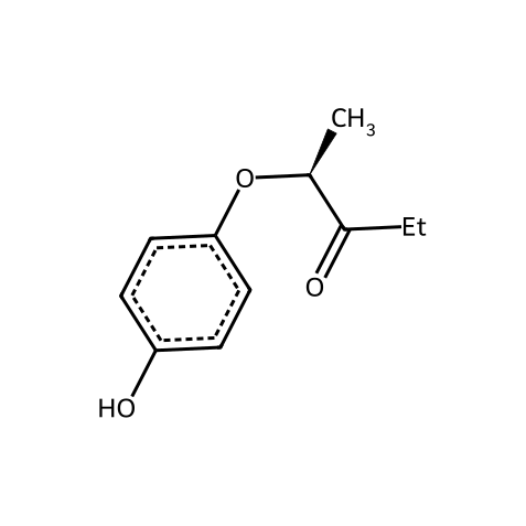 CCC(=O)[C@H](C)Oc1ccc(O)cc1